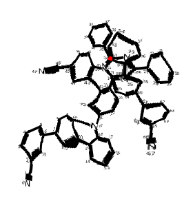 N#Cc1cccc(-c2ccc3c(c2)c2ccccc2n3-c2ccc(-c3nc(-c4ccccc4)nc(-c4ccccc4)n3)c(-c3cc(C#N)ccc3-n3c4ccccc4c4cc(-c5cccc(C#N)c5)ccc43)c2)c1